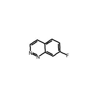 Fc1ccc2ccnnc2c1